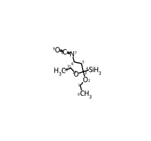 CCOC([SiH3])(CCN=C=O)OCC